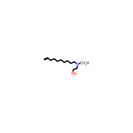 C=CCCCCCCCCN(CCO)C(=O)O